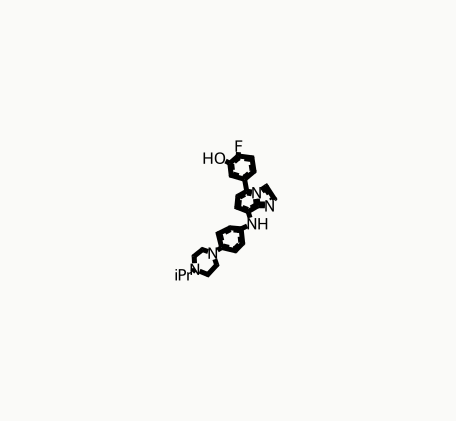 CC(C)N1CCN(c2ccc(Nc3ccc(-c4ccc(F)c(O)c4)n4ccnc34)cc2)CC1